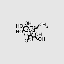 CCCCCOC1=C(O[C@H]2O[C@H](CO)[C@@H](O)[C@H](O)[C@H]2O)C(=O)O[C@@H]1[C@@H](O)CO